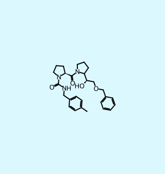 Cc1ccc(CNC(=O)N2CCC[C@H]2C(=O)N2CCCC2[C@H](O)COCc2ccccc2)cc1